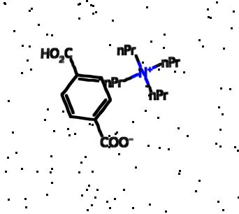 CCC[N+](CCC)(CCC)CCC.O=C([O-])c1ccc(C(=O)O)cc1